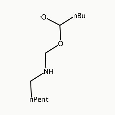 CCCCCCNCOC([O])CCCC